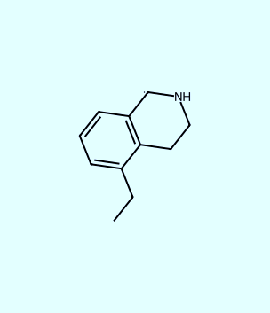 CCc1cccc2c1CCN[CH]2